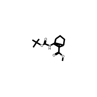 COC(=O)C1=C(NC(=O)OC(C)(C)C)C2CCC1CC2